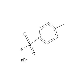 CCC[N]S(=O)(=O)c1ccc(C)cc1